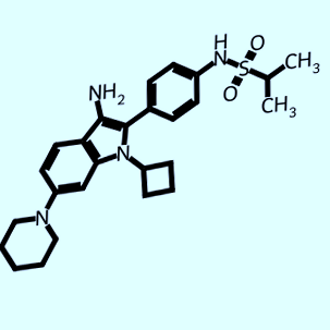 CC(C)S(=O)(=O)Nc1ccc(-c2c(N)c3ccc(N4CCCCC4)cc3n2C2CCC2)cc1